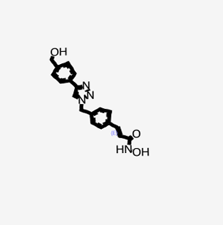 O=C(/C=C/c1ccc(Cn2cc(-c3ccc(CO)cc3)nn2)cc1)NO